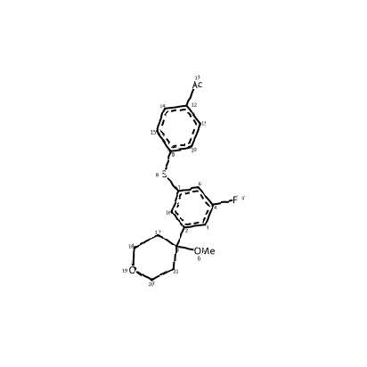 COC1(c2cc(F)cc(Sc3ccc(C(C)=O)cc3)c2)CCOCC1